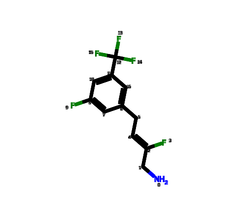 NC/C(F)=C/Cc1cc(F)cc(C(F)(F)F)c1